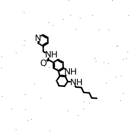 CCCCCCNC1CCCc2c1[nH]c1ccc(C(=O)NCc3cccnc3)cc21